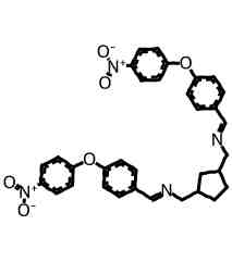 O=[N+]([O-])c1ccc(Oc2ccc(C=NCC3CCC(CN=Cc4ccc(Oc5ccc([N+](=O)[O-])cc5)cc4)C3)cc2)cc1